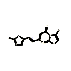 Cc1ncc(/C=C/c2cc(=O)n3c(C(F)(F)F)csc3n2)s1